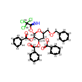 N=C(O[C@H]1OC(COCc2ccccc2)[C@H](OC(=O)c2ccccc2)C(OC(=O)c2ccccc2)C1OC(=O)c1ccccc1)C(Cl)(Cl)Cl